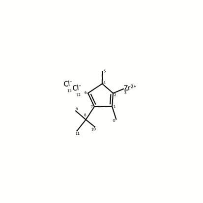 CC1=[C]([Zr+2])C(C)C=C1C(C)(C)C.[Cl-].[Cl-]